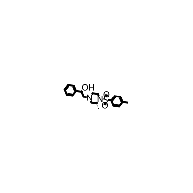 Cc1ccc(S(=O)(=O)N2CCN(CC(O)c3ccccc3)C[C@H]2C)cc1